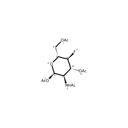 CC(=O)N[C@H]1[C@@H](OC(C)=O)O[C@H](COC(C)=O)[C@@H](F)[C@@H]1OC(C)=O